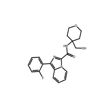 O=C(NC1(CO)CCOCC1)c1nc(-c2ccccc2F)c2ccccn12